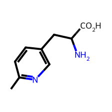 Cc1ccc(CC(N)C(=O)O)cn1